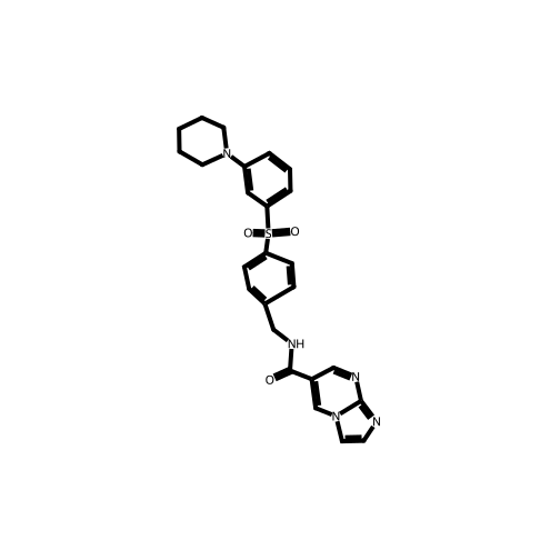 O=C(NCc1ccc(S(=O)(=O)c2cccc(N3CCCCC3)c2)cc1)c1cnc2nccn2c1